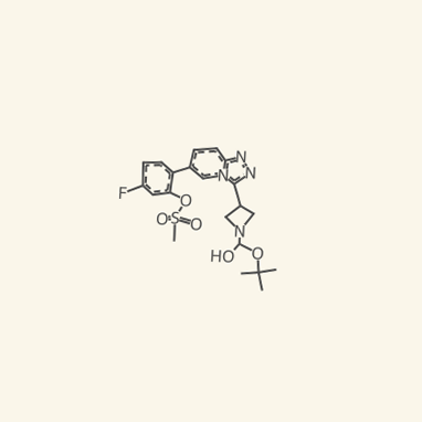 CC(C)(C)OC(O)N1CC(c2nnc3ccc(-c4ccc(F)cc4OS(C)(=O)=O)cn23)C1